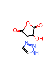 O=C1CC(O)C(=O)O1.c1c[nH]nn1